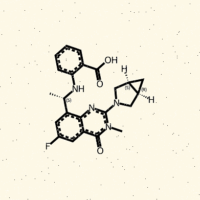 C[C@H](Nc1ccccc1C(=O)O)c1cc(F)cc2c(=O)n(C)c(N3C[C@H]4C[C@H]4C3)nc12